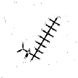 [CH2]CN(C)S(=O)(=O)C(F)(F)C(F)(F)C(F)(F)C(F)(F)C(F)(F)C(F)(F)C(F)(F)C(F)(F)F